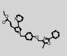 CCOC(=O)/C=C/c1cn(Cc2ccc(OCc3nc(-c4ccccc4)oc3C)cc2)cc1-c1ccccn1